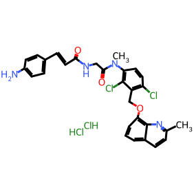 Cc1ccc2cccc(OCc3c(Cl)ccc(N(C)C(=O)CNC(=O)C=Cc4ccc(N)cc4)c3Cl)c2n1.Cl.Cl